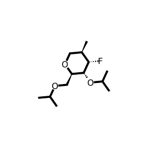 CC(C)OC[C@H]1OC[C@@H](C)[C@H](F)[C@@H]1OC(C)C